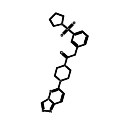 O=C(Cc1cccc(S(=O)(=O)N2CCCC2)c1)N1CCN(c2ccc3nncn3n2)CC1